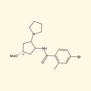 CO[C@H]1CC(NC(=O)c2ccc(Br)cc2C)C(N2CCCC2)C1